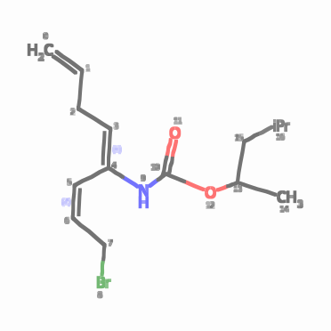 C=CC/C=C(\C=C/CBr)NC(=O)OC(C)CC(C)C